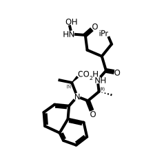 CC(C)CC(CC(=O)NO)C(=O)N[C@H](C)C(=O)N(c1cccc2ccccc12)[C@@H](C)C(=O)O